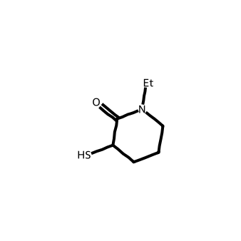 CCN1CCCC(S)C1=O